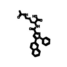 CC(=O)NCSCC(NC(=O)c1cc(-c2ccc3ccccc3c2)n(-c2ccccc2)n1)C(=O)O